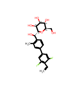 C=Cc1c(F)cc(-c2ccc(C(O)[C@H]3O[C@H](CO)[C@@H](O)[C@H](O)[C@@H]3O)c(C)c2)cc1F